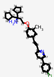 Cc1cc(C#Cc2ccc(-c3ccc(Cl)cc3)cn2)ccc1OCCC(N)(C1CCCC1)C1CCCC1